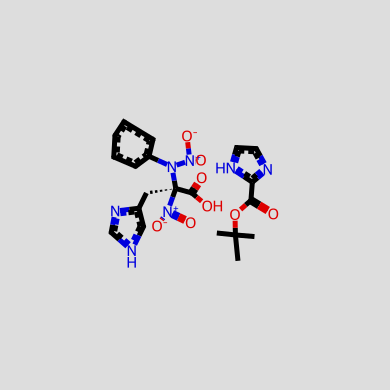 CC(C)(C)OC(=O)c1ncc[nH]1.O=C(O)[C@](Cc1c[nH]cn1)(N(c1ccccc1)[N+](=O)[O-])[N+](=O)[O-]